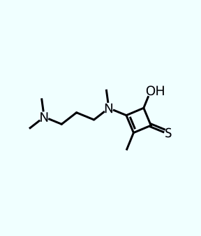 CC1=C(N(C)CCCN(C)C)C(O)C1=S